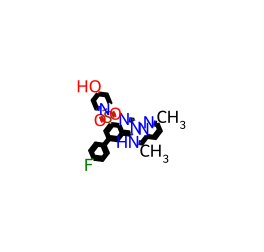 Cc1ccc([C@@H](C)Nc2ncnc3c(S(=O)(=O)N4CCC(O)CC4)cc(-c4ccc(F)cc4)cc23)nn1